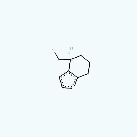 NC[C@@]1(O)CCCc2sccc21